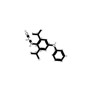 CC(C)c1cc(Oc2ccccc2)cc(C(C)C)c1N=C=O